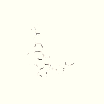 C=CC(=O)N1CCCC(n2nc(C(=O)Nc3ccc(CC(=O)N(C)C)cc3OC)c3c(N)ncnc32)C1